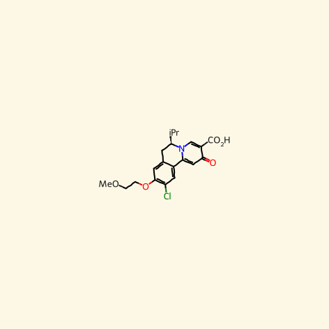 COCCOc1cc2c(cc1Cl)-c1cc(=O)c(C(=O)O)cn1[C@H](C(C)C)C2